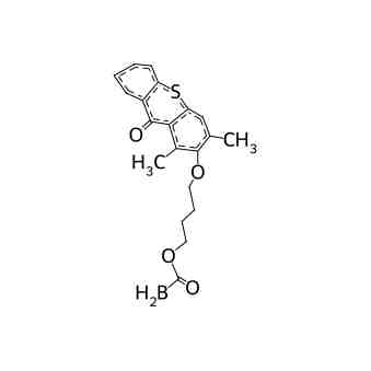 BC(=O)OCCCCOc1c(C)cc2sc3ccccc3c(=O)c2c1C